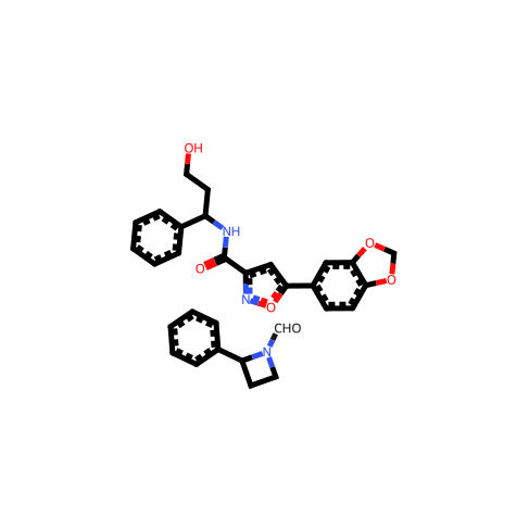 O=C(NC(CCO)c1ccccc1)c1cc(-c2ccc3c(c2)OCO3)on1.O=CN1CCC1c1ccccc1